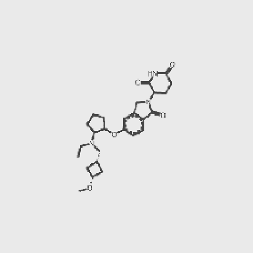 CCN(C[C@H]1C[C@@H](OC)C1)C1CCCC1Oc1ccc2c(c1)CN(C1CCC(=O)NC1=O)C2=O